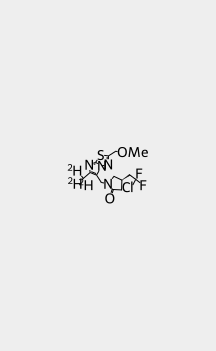 [2H]C([2H])([2H])c1nc2sc(COC)nn2c1CN1C[C@@H](CC(F)(F)Cl)CC1=O